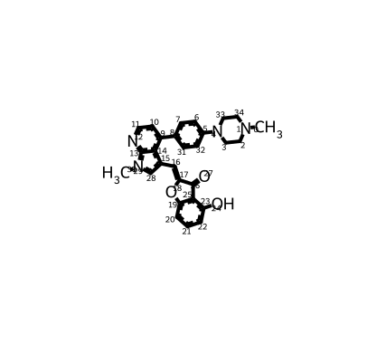 CN1CCN(c2ccc(-c3ccnc4c3c(C=C3Oc5cccc(O)c5C3=O)cn4C)cc2)CC1